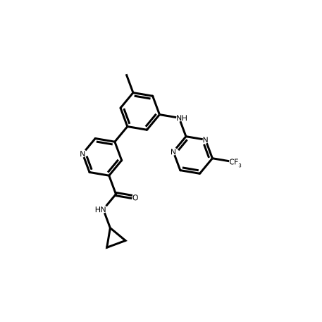 Cc1cc(Nc2nccc(C(F)(F)F)n2)cc(-c2cncc(C(=O)NC3CC3)c2)c1